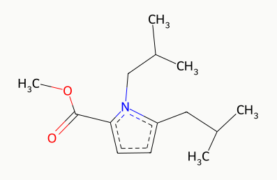 COC(=O)c1ccc(CC(C)C)n1CC(C)C